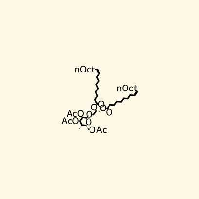 CCCCCCCC/C=C\CCCCCCCC(=O)OC[C@H](CO[C@@H]1O[C@H](COC(C)=O)[C@H](C)[C@H](OC(C)=O)[C@H]1OC(C)=O)OC(=O)CCCCCCC/C=C\CCCCCCCC